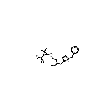 CCC(CCOC1C(C(=O)O)C1(C)C)Cc1ccc(Cc2ccccc2)o1